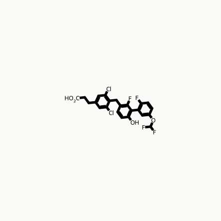 O=C(O)CCc1cc(Cl)c(Cc2ccc(O)c(-c3cc(OC(F)F)ccc3F)c2F)c(Cl)c1